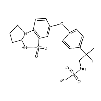 CC(C)S(=O)(=O)NCC(C)(F)c1ccc(Oc2ccc3c(c2)S(=O)(=O)NC2CCCN32)cc1